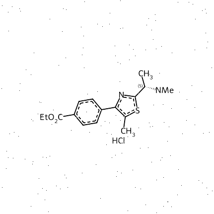 CCOC(=O)c1ccc(-c2nc([C@H](C)NC)sc2C)cc1.Cl